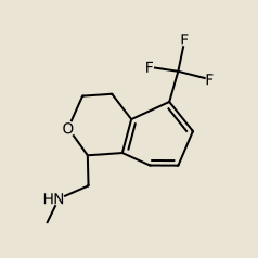 CNCC1OCCc2c1cccc2C(F)(F)F